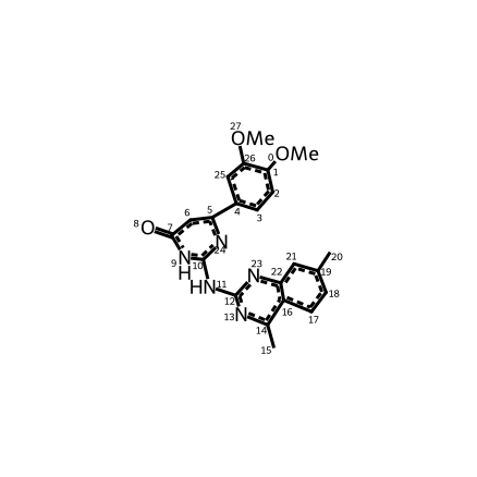 COc1ccc(-c2cc(=O)[nH]c(Nc3nc(C)c4ccc(C)cc4n3)n2)cc1OC